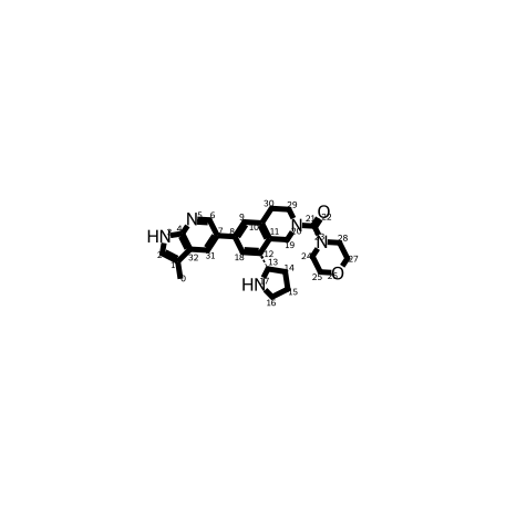 Cc1c[nH]c2ncc(-c3cc4c(c([C@@H]5CCCN5)c3)CN(C(=O)N3CCOCC3)CC4)cc12